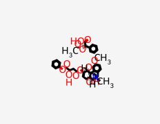 CC(=O)O[C@H](C(=O)O)c1ccccc1.COc1ccc2c3c1O[C@H]1C(OC(=O)CC(O)C(=O)Oc4ccccc4)=CC[C@@]4(O)[C@@H](C2)N(C)CC[C@]314